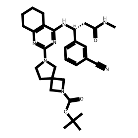 CNC(=O)C[C@@H](Nc1nc(N2CCC3(CN(C(=O)OC(C)(C)C)C3)C2)nc2c1CCCC2)c1cccc(C#N)c1